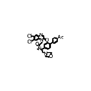 CC(=O)c1ccc(-c2ccc(C(CN3CCOCC3)N(C)C(=O)Cn3c(=O)cnc4cc(Cl)c(Cl)cc43)cc2)cc1